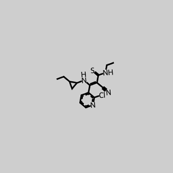 CCNC(=S)/C(C#N)=C(\NC1CC1CC)c1cccnc1Cl